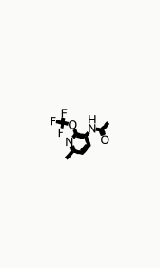 CC(=O)Nc1ccc(C)nc1OC(F)(F)F